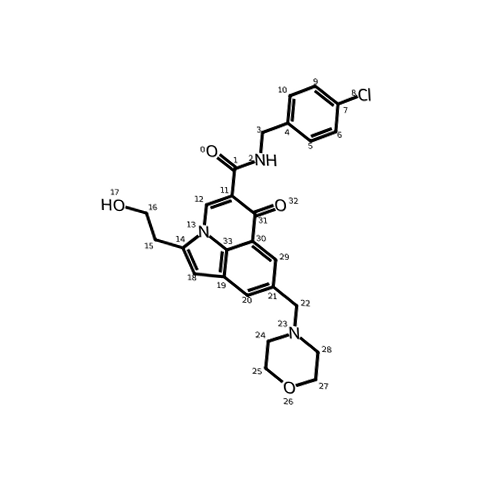 O=C(NCc1ccc(Cl)cc1)c1cn2c(CCO)cc3cc(CN4CCOCC4)cc(c1=O)c32